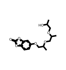 CC(O)COC(C)COC(C)COc1ccc2oc(=O)oc2c1